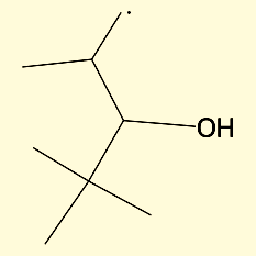 [CH2]C(C)C(O)C(C)(C)C